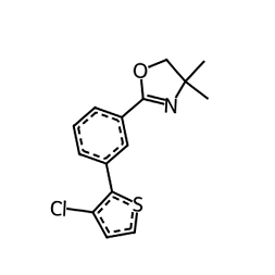 CC1(C)COC(c2cccc(-c3sccc3Cl)c2)=N1